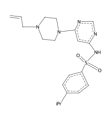 C=CCN1CCN(c2cc(NS(=O)(=O)c3ccc(C(C)C)cc3)ncn2)CC1